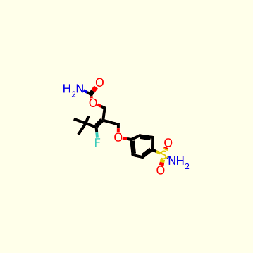 CC(C)(C)C(F)=C(COC(N)=O)COc1ccc(S(N)(=O)=O)cc1